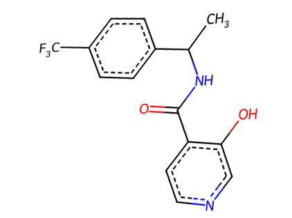 CC(NC(=O)c1ccncc1O)c1ccc(C(F)(F)F)cc1